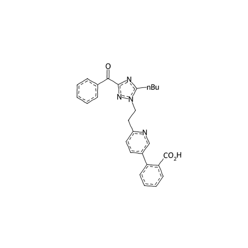 CCCCc1nc(C(=O)c2ccccc2)nn1CCc1ccc(-c2ccccc2C(=O)O)cn1